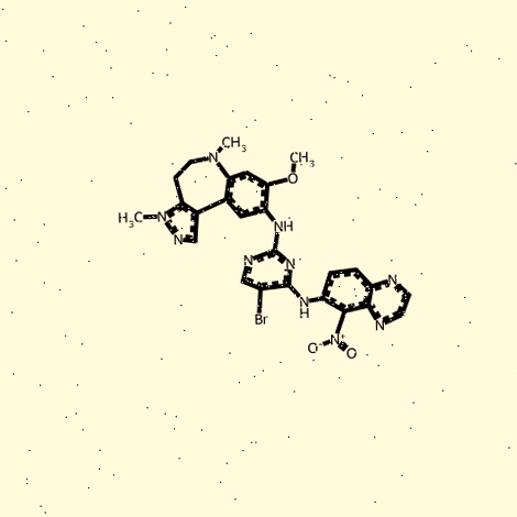 COc1cc2c(cc1Nc1ncc(Br)c(Nc3ccc4nccnc4c3[N+](=O)[O-])n1)-c1cnn(C)c1CCN2C